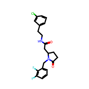 O=C(CC1CCC(=O)N1Cc1cccc(F)c1F)NCCc1cccc(Cl)c1